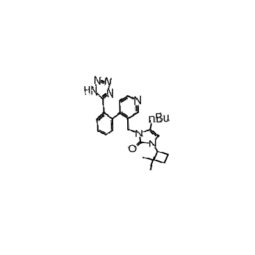 CCCCc1cn(C2CCC2(C)C)c(=O)n1Cc1cnccc1-c1ccccc1-c1nnn[nH]1